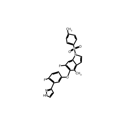 Cc1ccc(S(=O)(=O)n2ccc3c(C)c(Oc4ccc(F)c(-c5cc[nH]n5)c4)c(F)cc32)cc1